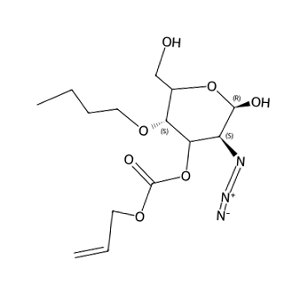 C=CCOC(=O)OC1[C@H](OCCCC)C(CO)O[C@@H](O)[C@H]1N=[N+]=[N-]